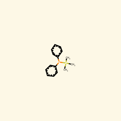 CS(C)(C)P(c1ccccc1)c1ccccc1